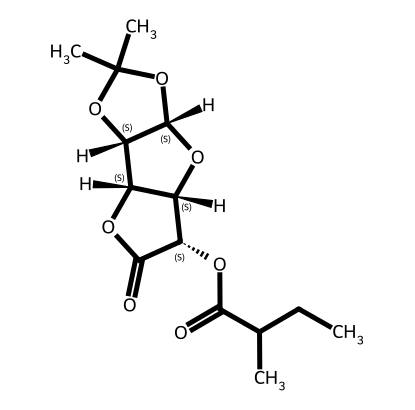 CCC(C)C(=O)O[C@@H]1C(=O)O[C@@H]2[C@@H]3OC(C)(C)O[C@@H]3O[C@@H]21